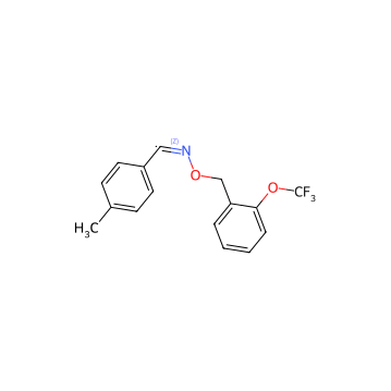 Cc1ccc(/[C]=N\OCc2ccccc2OC(F)(F)F)cc1